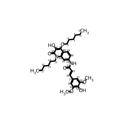 CCCCCCOc1c(O)c(=O)n(CCCCCC)c2cc(NC(=O)C=Cc3cc(OC)c(O)c(OC)c3)ccc12